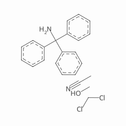 CC#N.CO.ClCCl.NC(c1ccccc1)(c1ccccc1)c1ccccc1